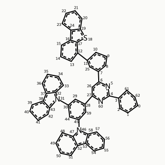 c1ccc(-c2nc(-c3cccc(-c4cccc5c4sc4ccccc45)c3)cc(-c3cc(-n4c5ccccc5c5ccccc54)cc(-n4c5ccccc5c5ccccc54)c3)n2)cc1